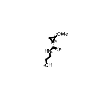 COC1C[C@H]1C(=O)NCCO